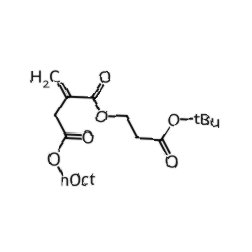 C=C(CC(=O)OCCCCCCCC)C(=O)OCCC(=O)OC(C)(C)C